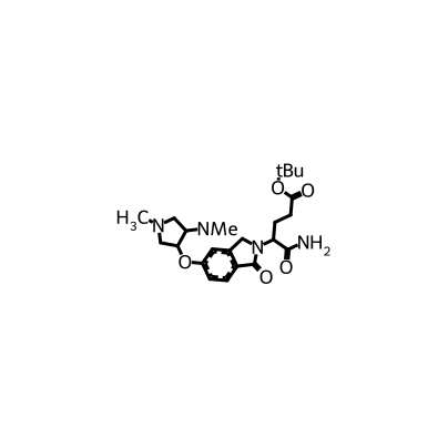 CNC1CN(C)CC1Oc1ccc2c(c1)CN(C(CCC(=O)OC(C)(C)C)C(N)=O)C2=O